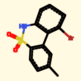 Cc1ccc2c(c1)-c1c(Br)cccc1NS2(=O)=O